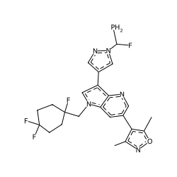 Cc1noc(C)c1-c1cnc2c(-c3cnn(C(F)P)c3)cn(CC3(F)CCC(F)(F)CC3)c2c1